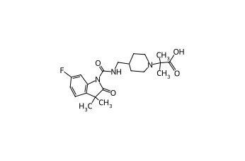 CC1(C)C(=O)N(C(=O)NCC2CCN(C(C)(C)C(=O)O)CC2)c2cc(F)ccc21